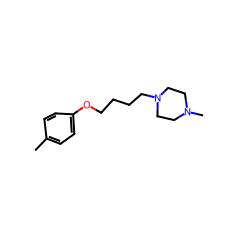 Cc1ccc(OCCCCN2CCN(C)CC2)cc1